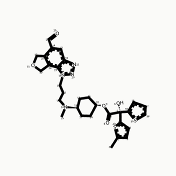 Cc1ccc([C@@](O)(C(=O)O[C@H]2CC[C@H](N(C)CCCn3nnc4cc(C=O)c5c(c43)COC5)CC2)c2cccs2)s1